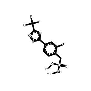 CCOP(=O)(Cc1ccc(-c2noc(C(F)(F)Cl)n2)cc1F)NC(C)(C)C